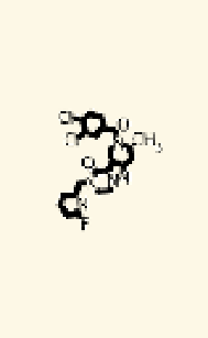 C[C@@H]1Cc2nn3c(c2CN1C(=O)c1ccc(Cl)c(Cl)c1)C(=O)N(Cc1cccc(F)n1)CC3